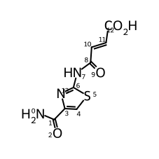 NC(=O)c1csc(NC(=O)/C=C/C(=O)O)n1